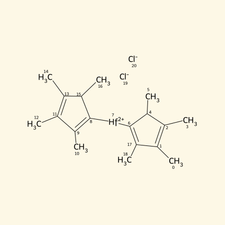 CC1=C(C)C(C)[C]([Hf+2][C]2=C(C)C(C)=C(C)C2C)=C1C.[Cl-].[Cl-]